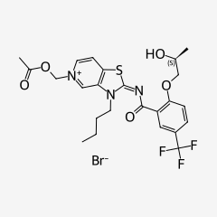 CCCCn1c(=NC(=O)c2cc(C(F)(F)F)ccc2OC[C@H](C)O)sc2cc[n+](COC(C)=O)cc21.[Br-]